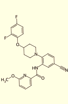 COc1cccc(C(=O)Nc2cc(C#N)ccc2N2CCC(Oc3ccc(F)cc3F)CC2)n1